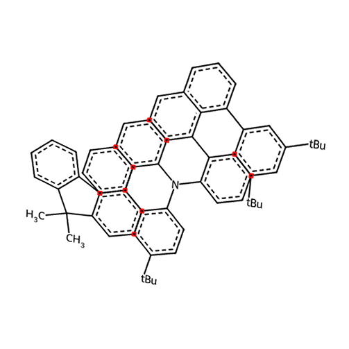 CC(C)(C)c1cc(-c2cccc3cccc(-c4ccccc4N(c4ccc(C(C)(C)C)cc4-c4ccccc4)c4ccccc4-c4cccc5c4-c4ccccc4C5(C)C)c23)cc(C(C)(C)C)c1